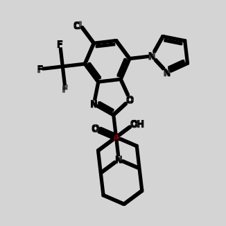 O=C(O)N1C2CCCC1CN(c1nc3c(C(F)(F)F)c(Cl)cc(-n4cccn4)c3o1)C2